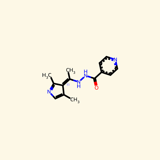 CC1=CN=C(C)/C1=C(\C)NNC(=O)c1ccncc1